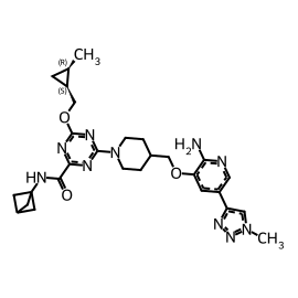 C[C@@H]1C[C@@H]1COc1nc(C(=O)NC23CC(C2)C3)nc(N2CCC(COc3cc(-c4cn(C)nn4)cnc3N)CC2)n1